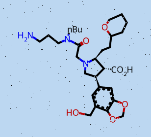 CCCCN(CCCN)C(=O)CN1C[C@H](c2cc(CO)c3c(c2)OCO3)[C@@H](C(=O)O)[C@@H]1CCC1CCCCO1